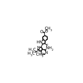 COC(=O)c1ccc2c(F)c(-c3nn(C(C)(C)C)c4ncnc(N)c34)[nH]c2c1